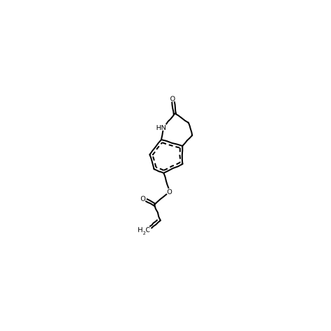 C=CC(=O)Oc1ccc2c(c1)CCC(=O)N2